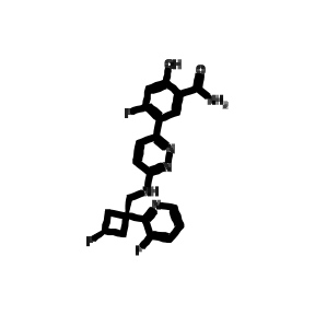 NC(=O)c1cc(-c2ccc(NC[C@]3(c4ncccc4F)C[C@H](F)C3)nn2)c(F)cc1O